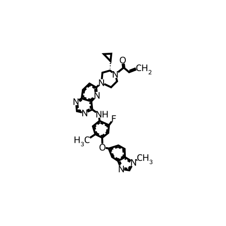 C=CC(=O)N1CCN(c2ccc3ncnc(Nc4cc(C)c(Oc5ccc6c(c5)ncn6C)cc4F)c3n2)C[C@@H]1C1CC1